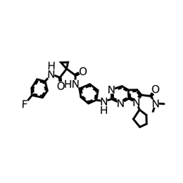 CN(C)C(=O)c1cc2cnc(Nc3ccc(NC(=O)C4(C(=O)Nc5ccc(F)cc5)CC4)cc3)nc2n1C1CCCC1